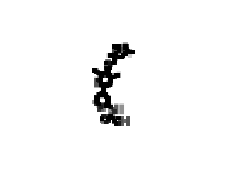 Cc1cc(-c2ccnc(NC(=O)O)c2)nc(C)c1OCC(C)(N)CC(C)C